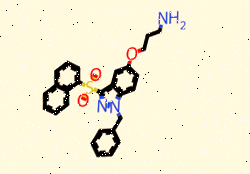 NCCCOc1ccc2c(c1)c(S(=O)(=O)c1cccc3ccccc13)nn2Cc1ccccc1